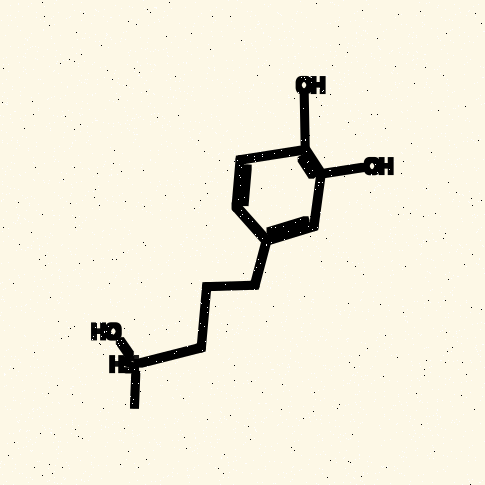 C[SiH](O)CCCc1ccc(O)c(O)c1